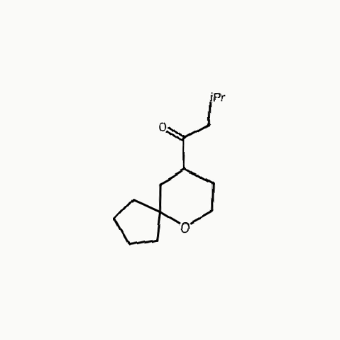 CC(C)CC(=O)C1CCOC2(CCCC2)C1